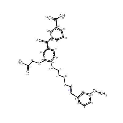 COc1cccc(/C=C/CCCCOc2ccc(C(=O)c3cccc(C(=O)O)c3)cc2CCC(=O)O)c1